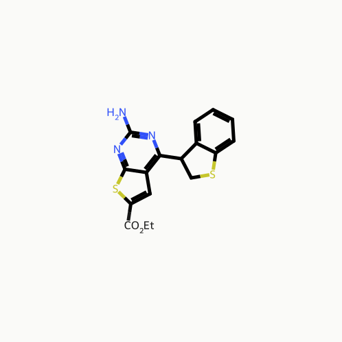 CCOC(=O)c1cc2c(C3CSc4ccccc43)nc(N)nc2s1